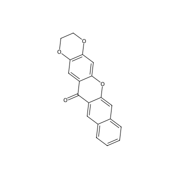 O=c1c2cc3c(cc2oc2cc4ccccc4cc12)OCCO3